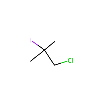 CC(C)(I)CCl